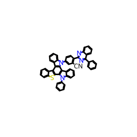 N#Cc1cc(-n2c3ccccc3c3c4c5ccccc5sc4c4c(c5ccccc5n4-c4ccccc4)c32)ccc1-c1nc(-c2ccccc2)c2ccccc2n1